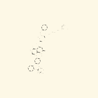 Cc1nc(C)c2c(OC(=O)NC(Cc3ccccc3)C(=O)OCCCCON(O)O)cc(=O)n(Cc3ccc(-c4ccccc4-c4nnn[nH]4)cc3)c2n1